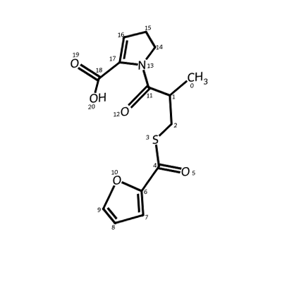 CC(CSC(=O)c1ccco1)C(=O)N1CCC=C1C(=O)O